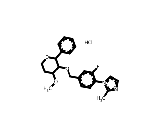 COC1CCOC(c2ccccc2)C1OCc1ccc(-n2ccnc2C)c(F)c1.Cl